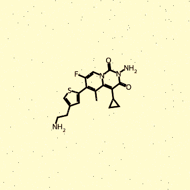 Cc1c(-c2cc(CCN)cs2)c(F)cn2c(=O)n(N)c(=O)c(C3CC3)c12